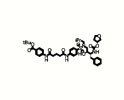 CC(C)CN(C[C@H](O)[C@@H](Cc1ccccc1)NC(=O)O[C@@H]1CCOC1)S(=O)(=O)c1ccc(NC(=O)CCCC(=O)Nc2ccc(C(=O)OC(C)(C)C)cc2)cc1